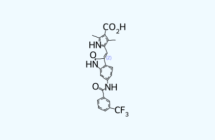 Cc1[nH]c(/C=C2\C(=O)Nc3cc(NC(=O)c4cccc(C(F)(F)F)c4)ccc32)c(C)c1C(=O)O